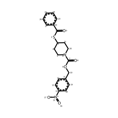 O=C(SC1CCN(C(=O)OCc2ccc([N+](=O)[O-])cc2)CC1)c1ccccc1